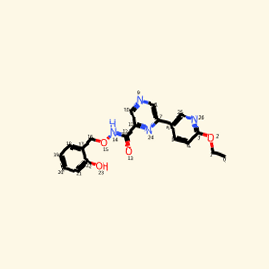 CCOc1ccc(-c2cncc(C(=O)NOCc3ccccc3O)n2)cn1